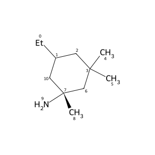 CCC1CC(C)(C)C[C@](C)(N)C1